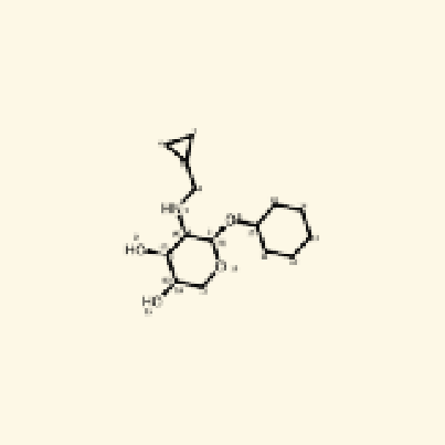 O[C@H]1[C@@H](NCC2CC2)[C@@H](OC2CCCCC2)OC[C@H]1O